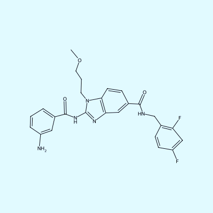 COCCCn1c(NC(=O)c2cccc(N)c2)nc2cc(C(=O)NCc3ccc(F)cc3F)ccc21